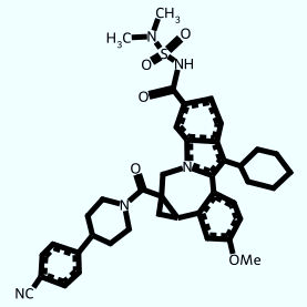 COc1ccc2c(c1)C1CC1(C(=O)N1CCC(c3ccc(C#N)cc3)CC1)Cn1c-2c(C2CCCCC2)c2ccc(C(=O)NS(=O)(=O)N(C)C)cc21